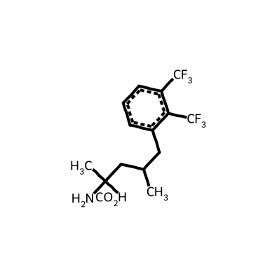 CC(Cc1cccc(C(F)(F)F)c1C(F)(F)F)CC(C)(N)C(=O)O